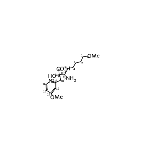 COCCCCC[C@H](N)[C@](O)(Cc1cc(OC)ccn1)C(=O)O